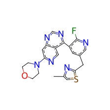 Cc1csc(Cc2cnc(F)c(-c3ncnc4cc(N5CCOCC5)ncc34)c2)n1